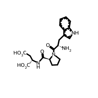 N[C@@H](Cc1c[nH]c2ccccc12)C(=O)N1CCC[C@H]1C(=O)N[C@@H](CC(=O)O)C(=O)O